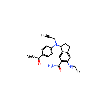 C#CCN(c1ccc(C(=O)OC)cc1)C1CCc2cc(/N=C/CC)c(C(N)=O)cc21